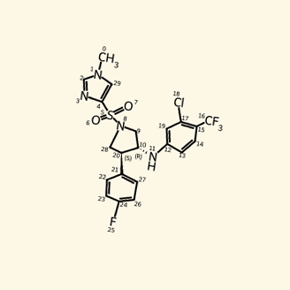 Cn1cnc(S(=O)(=O)N2C[C@H](Nc3ccc(C(F)(F)F)c(Cl)c3)[C@@H](c3ccc(F)cc3)C2)c1